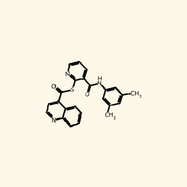 Cc1cc(C)cc(NC(=O)c2cccnc2SC(=O)c2ccnc3ccccc23)c1